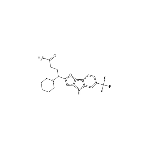 NC(=O)CCC(c1cc2[nH]c3cc(C(F)(F)F)ccc3c2o1)N1CCCCC1